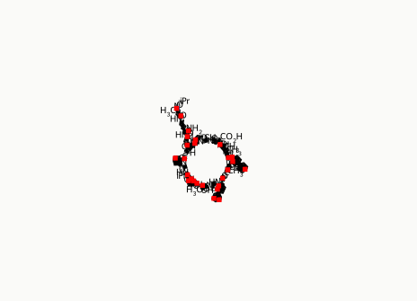 CC[C@@H]1NC(=O)[C@H]([C@@H](C)O)NC(=O)[C@@H]2CCCN2C(=O)[C@H](C(C)C)NC(=O)[C@H](Cc2ccccc2)NC(=O)CSC[C@@H](C(=O)NCC(=O)N[C@@H](CCCCNC(=O)CC/C(C)=N\OC(C)C)C(N)=O)NC(=O)[C@@H]2CCCN2C(=O)[C@H](C)NC(=O)[C@H](CCC(=O)O)NC(=O)[C@H](C)N(C)C(=O)[C@H](Cc2ccc(-c3ccccc3)cc2)NC(=O)[C@H](C)N(C)COC[C@H](Cc2ccc(-c3ccccc3)cc2)NC1=O